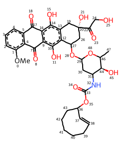 COc1cccc2c1C(=O)c1c(O)c3c(c(O)c1C2=O)C[C@@](O)(C(=O)CO)CC3OC1CC(NC(=O)OC2/C=C/CCCCC2)[C@H](O)C(C)O1